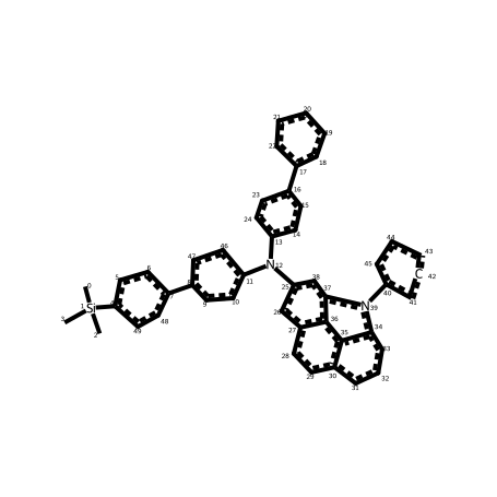 C[Si](C)(C)c1ccc(-c2ccc(N(c3ccc(-c4ccccc4)cc3)c3cc4ccc5cccc6c5c4c(c3)n6-c3ccccc3)cc2)cc1